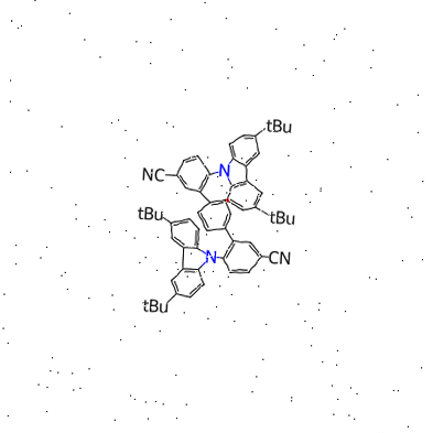 CC(C)(C)c1ccc2c(c1)c1cc(C(C)(C)C)ccc1n2-c1ccc(C#N)cc1-c1ccc(-c2cc(C#N)ccc2-n2c3ccc(C(C)(C)C)cc3c3cc(C(C)(C)C)ccc32)cc1